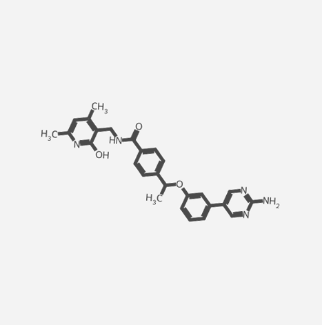 Cc1cc(C)c(CNC(=O)c2ccc(C(C)Oc3cccc(-c4cnc(N)nc4)c3)cc2)c(O)n1